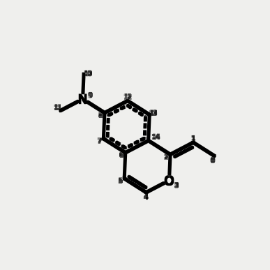 C/C=C1\OC=Cc2cc(N(C)C)ccc21